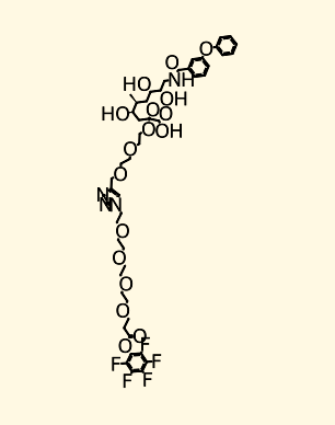 C[C@H]1[C@H]([C@H](O)[C@H](O)CNC(=O)c2cccc(Oc3ccccc3)c2)O[C@@](OCCOCCOCc2cn(CCOCCOCCOCCOCCC(=O)Oc3c(F)c(F)c(F)c(F)c3F)nn2)(C(=O)O)C[C@@H]1O